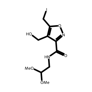 COC(CNC(=O)c1noc(CI)c1CO)OC